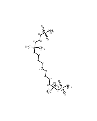 CC(C)(CCCCOCCCCC(C)(C)CS(N)(=O)=O)CCCS(N)(=O)=O